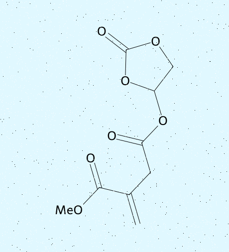 C=C(CC(=O)OC1COC(=O)O1)C(=O)OC